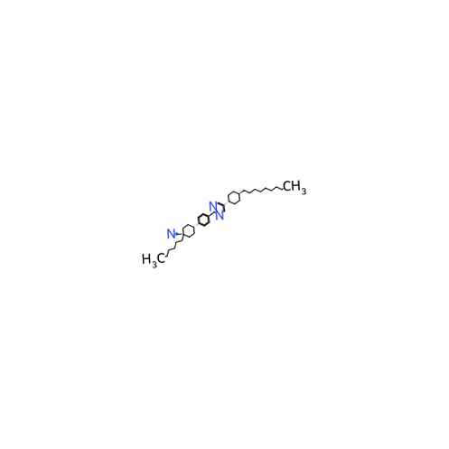 CCCCCCCCC[C@H]1CC[C@H](c2cnc(-c3ccc([C@H]4CC[C@@](C#N)(CCCCCC)CC4)cc3)nc2)CC1